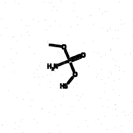 COP(N)(=O)OS